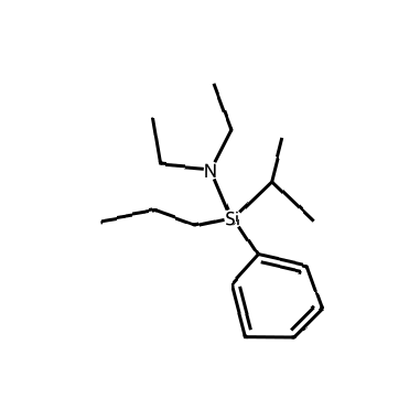 CCC[Si](c1ccccc1)(C(C)C)N(CC)CC